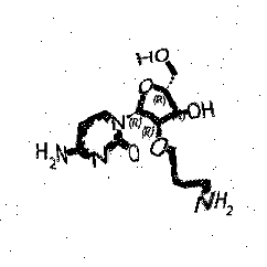 NCCCO[C@@H]1[C@H](O)[C@@H](CO)O[C@H]1n1ccc(N)nc1=O